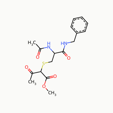 COC(=O)C(SCC(NC(C)=O)C(=O)NCc1ccccc1)C(C)=O